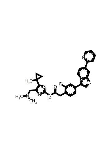 CN(C)Cc1nc(NC(=O)Cc2ccc(-c3cnc4cc(-c5ccccn5)ccn34)cc2F)sc1C1(C)CC1